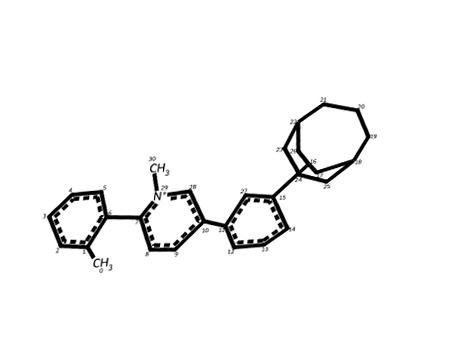 Cc1ccccc1-c1ccc(-c2cccc(C3CC4CCCC(CCC4)C3)c2)c[n+]1C